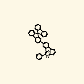 c1ccc(-c2nc3cccc4c5ccc(-c6ccc7c(c6)C6(c8ccccc8-c8ccccc86)c6ccccc6-7)cc5c2n34)cc1